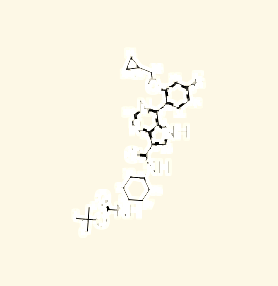 CC(C)(C)OC(=O)N[C@H]1CC[C@@H](NC(=O)c2c[nH]c3c(-c4ccc(F)cc4OCC4CC4)ncnc23)CC1